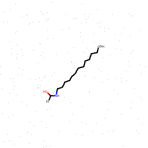 CCCCCCCCCCCCCCCCCCCCCCNC(O)CC